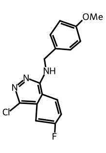 COc1ccc(CNc2nnc(Cl)c3cc(F)ccc23)cc1